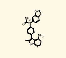 Cc1sc2ncnc(N)c2c1-c1ccc(N(C(N)=O)c2ccc3c(c2)OCO3)cc1